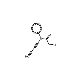 C#CC#CN(C(=O)CCl)c1ccccc1